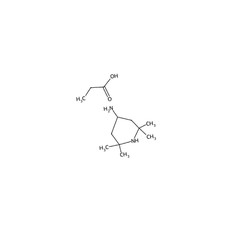 CC1(C)CC(N)CC(C)(C)N1.CCC(=O)O